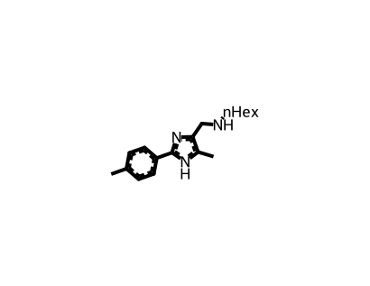 CCCCCCNCc1nc(-c2ccc(C)cc2)[nH]c1C